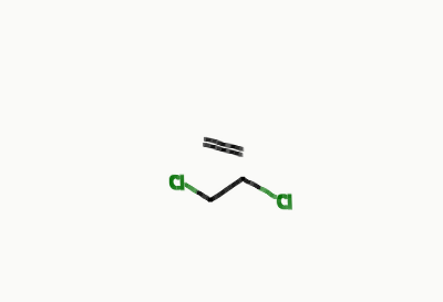 C=C.ClCCCl